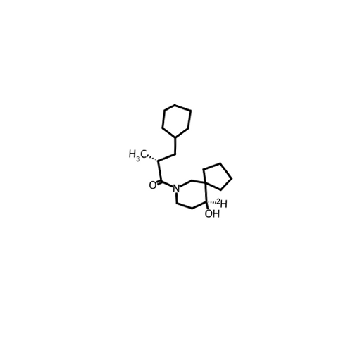 [2H][C@]1(O)CCN(C(=O)[C@H](C)CC2CCCCC2)CC12CCCC2